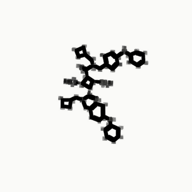 O=C(O)[C@H]1[C@H](C(=O)N(Cc2ccc(Oc3ccccc3)cc2)CC2CCC2)[C@H](C(=O)O)[C@H]1C(=O)N(Cc1ccc(Oc2ccccc2)cc1)CC1CCC1